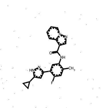 Cc1cc(F)c(-c2cc(C3CC3)[nH]n2)cc1NC(=O)c1cnn2ccccc12